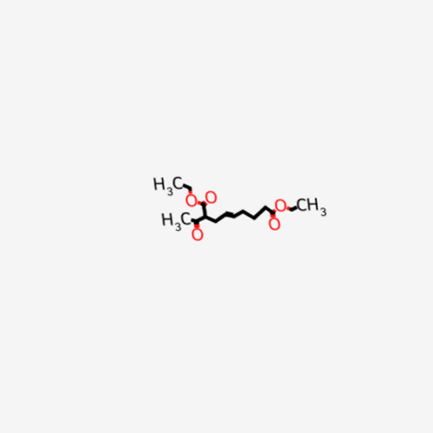 CCOC(=O)CCCC=CCC(C(C)=O)C(=O)OCC